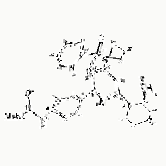 CNC(=O)Nc1ccc(-c2nc(N3CCOC[C@@H]3C)cc(C3(S(=O)(=O)c4ccccn4)CCC3)n2)cc1